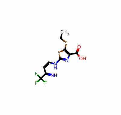 CCSc1sc(N/C=C\C(=N)C(F)(F)F)nc1C(=O)O